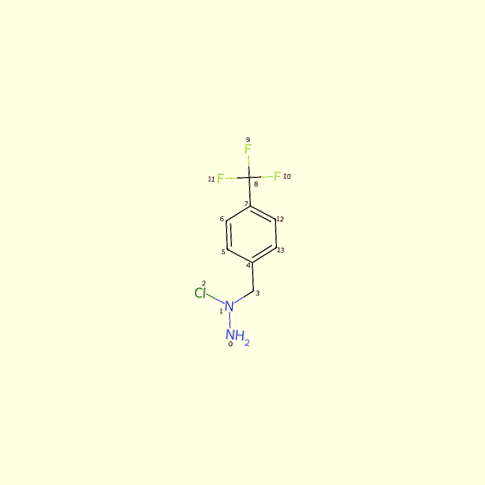 NN(Cl)Cc1ccc(C(F)(F)F)cc1